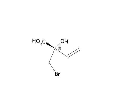 C=C[C@@](O)(CBr)C(=O)O